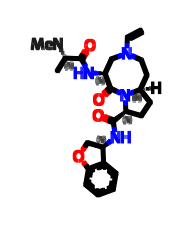 C=CN1CC[C@H]2CC[C@@H](C(=O)N[C@@H]3COc4ccccc43)N2C(=O)[C@@H](NC(=O)[C@H](C)NC)C1